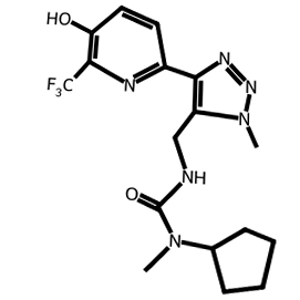 CN(C(=O)NCc1c(-c2ccc(O)c(C(F)(F)F)n2)nnn1C)C1CCCC1